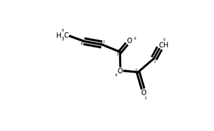 C#CC(=O)OC(=O)C#CC